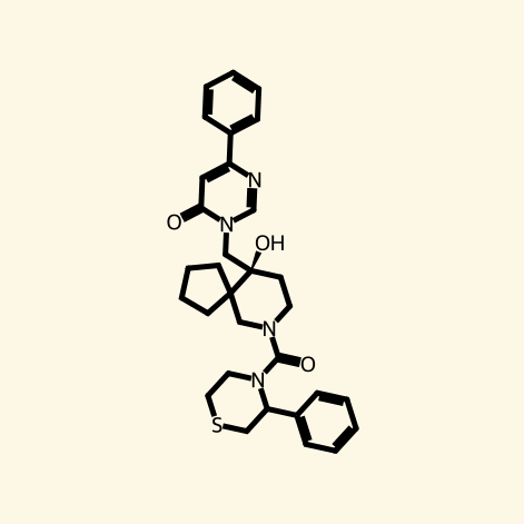 O=C(N1CC[C@@](O)(Cn2cnc(-c3ccccc3)cc2=O)C2(CCCC2)C1)N1CCSCC1c1ccccc1